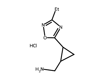 CCc1noc(C2CC2CN)n1.Cl